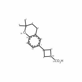 CC1(C)CCc2cc(C3CN(C(=O)O)C3)ccc2O1